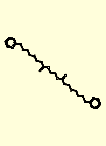 O=C(CCSCCSSc1ccccn1)OCCOC(=O)CCSCCSSc1ccccn1